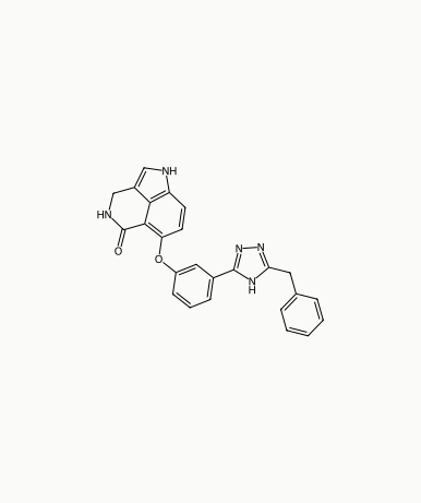 O=C1NCc2c[nH]c3ccc(Oc4cccc(-c5nnc(Cc6ccccc6)[nH]5)c4)c1c23